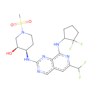 CS(=O)(=O)N1CC[C@@H](Nc2ncc3cc(C(F)F)nc(NC4CCCC4(F)F)c3n2)[C@@H](O)C1